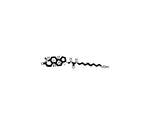 CCCCCCCCCCCCCCCCCCNC(=O)NC[C@H]1CC[C@H]2[C@@H]3CC[C@H]4N(C)C(=O)C=C[C@]4(C)[C@H]3CC[C@]12C